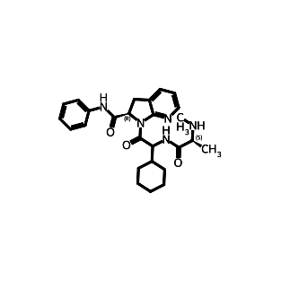 CN[C@@H](C)C(=O)NC(C(=O)N1c2ncccc2C[C@@H]1C(=O)Nc1ccccc1)C1CCCCC1